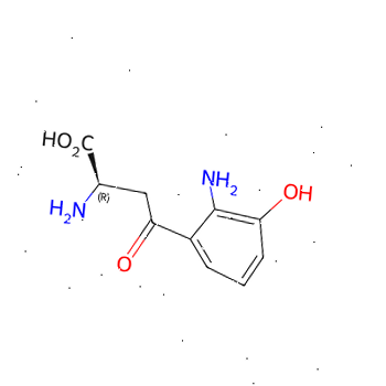 Nc1c(O)cccc1C(=O)C[C@@H](N)C(=O)O